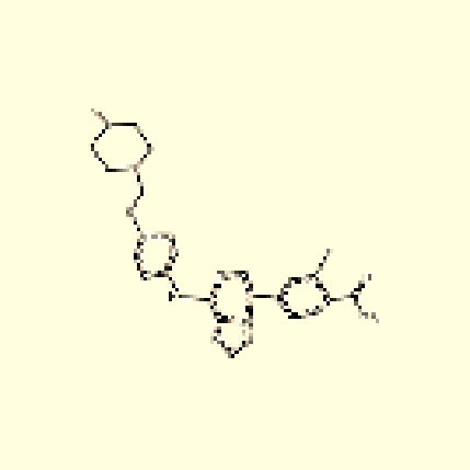 CN1CCC(COc2ccc(Nc3ncc(-c4ccc(C(N)=O)c(F)c4)n4ccnc34)cc2)CC1